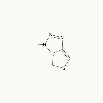 Cn1nnc2cscc21